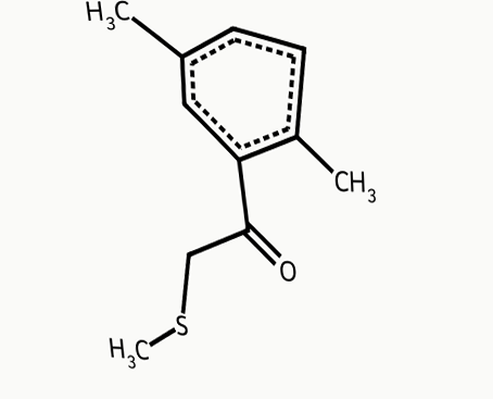 CSCC(=O)c1cc(C)ccc1C